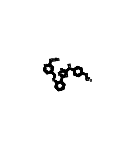 CC(=O)Nc1cc(CSc2ccccc2-c2nnc(Nc3ccc(OC(F)(F)F)cc3)o2)ccn1